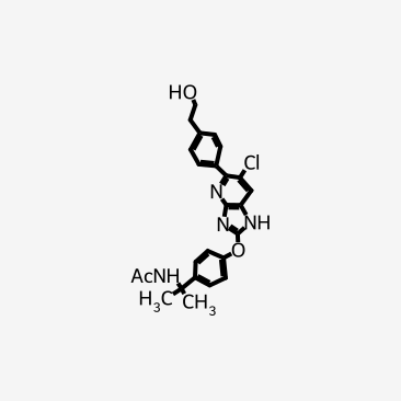 CC(=O)NC(C)(C)c1ccc(Oc2nc3nc(-c4ccc(CCO)cc4)c(Cl)cc3[nH]2)cc1